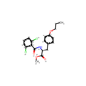 CCCOc1ccc(C[C@H](NC(=O)c2c(Cl)cccc2Cl)C(=O)OC)cc1